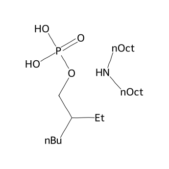 CCCCC(CC)COP(=O)(O)O.CCCCCCCCNCCCCCCCC